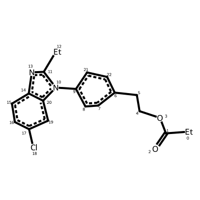 CCC(=O)OCCc1ccc(-n2c(CC)nc3ccc(Cl)cc32)cc1